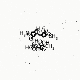 COc1ccc(Cc2nccc3cc(OC)c(OC)cc23)cc1OC.Cc1ncc(COP(=O)(O)O)c(C=O)c1O